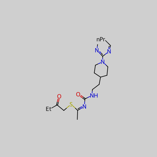 CCC/C=N\C(=N/C)N1CCC(CCNC(=O)/N=C(/C)SCC(=O)CC)CC1